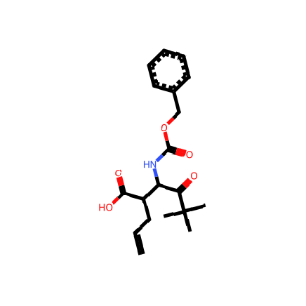 C=CCC(C(=O)O)C(NC(=O)OCc1ccccc1)C(=O)C(C)(C)C